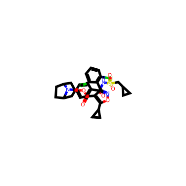 O=C(NS(=O)(=O)CC1CC1)c1ccc(N2C3CCC2CC(OC(=O)c2c(-c4c(Cl)cccc4Cl)noc2C2CC2)C3)cc1